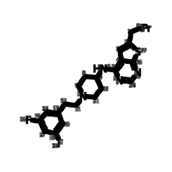 CC(C)Cc1cc2c(NC3CCN(CCc4cc(F)cc(F)c4)CC3)ncnc2s1